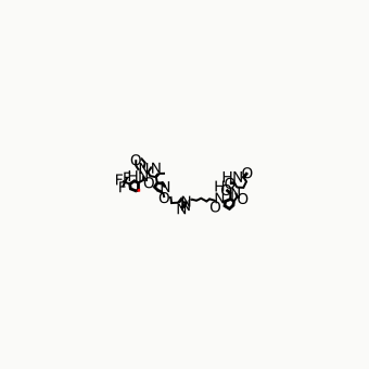 CC1=C(c2ccc(OCCc3cn(CCCCCC(=O)Nc4cccc5c4C(=O)N(C4CCC(=O)NC4=O)C5=O)nn3)nc2)CC(NC(=O)c2cccc(C(F)(F)F)c2)(N2CCOCC2)C=N1